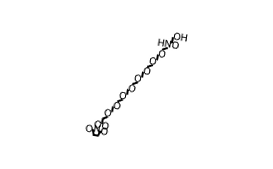 O=C(CO)NCCOCCOCCOCCOCCOCCOCCOCCOCCC(=O)ON1C(=O)CCC1=O